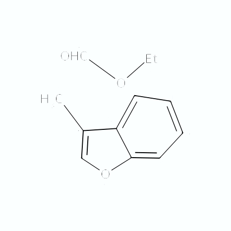 CCOC=O.Cc1coc2ccccc12